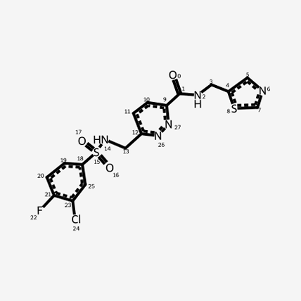 O=C(NCc1cncs1)c1ccc(CNS(=O)(=O)c2ccc(F)c(Cl)c2)nn1